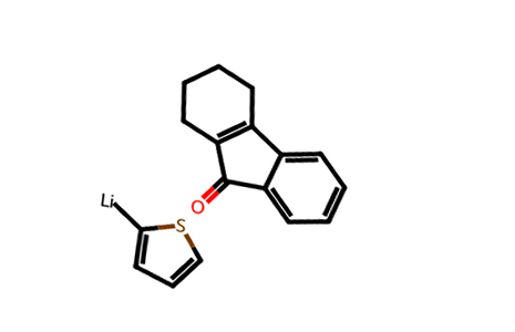 O=C1C2=C(CCCC2)c2ccccc21.[Li][c]1cccs1